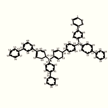 C1=CCCC(c2ccc(N(c3ccc(-c4ccccc4)cc3)c3ccc(C4C=CC(N(c5ccc(-c6ccccc6)cc5)C5C=CC(c6cccc(-c7ccccc7)c6)=CC5)=CC4)cc3)cc2)=C1